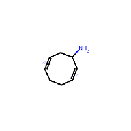 NC1/C=C\CC/C=C\C1